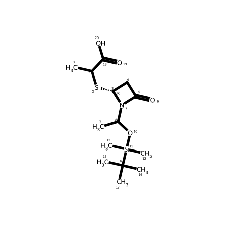 CC(S[C@@H]1CC(=O)N1C(C)O[Si](C)(C)C(C)(C)C)C(=O)O